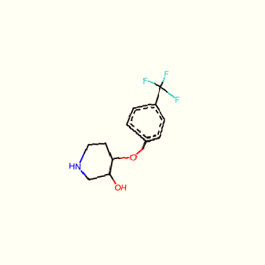 OC1CNCCC1Oc1ccc(C(F)(F)F)cc1